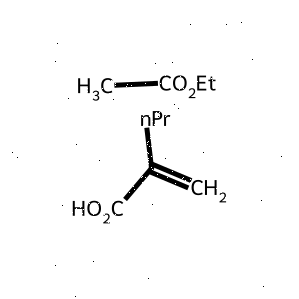 C=C(CCC)C(=O)O.CCOC(C)=O